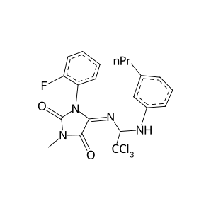 CCCc1cccc(NC(N=C2C(=O)N(C)C(=O)N2c2ccccc2F)C(Cl)(Cl)Cl)c1